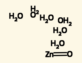 O.O.O.O.O.O.[O]=[Zn]